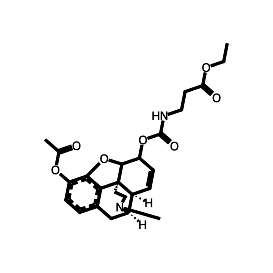 CCOC(=O)CCNC(=O)OC1C=C[C@H]2[C@H]3Cc4ccc(OC(C)=O)c5c4[C@@]2(CCN3C)C1O5